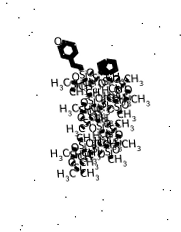 C[Si](C)(C)O[Si](C)(C)O[Si](C)(C)O[Si](C)(C)O[Si](C)(C)O[Si](C)(C)O[Si](C)(C)O[Si](C)(C)O[Si](C)(C)O[Si](C)(C)O[Si](C)(C)O[Si](C)(C)O[Si](C)(C)O[Si](C)(C)O[Si](C)(C)O[Si](C)(C)O[Si](C)(O[Si](C)(CCC1CCC2OC2C1)O[Si](C)(C)C)C1CC2CCC1C2